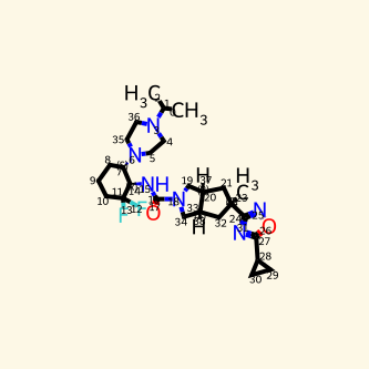 CC(C)N1CCN([C@H]2CCCC(F)(F)[C@@H]2NC(=O)N2C[C@@H]3C[C@](C)(c4noc(C5CC5)n4)C[C@@H]3C2)CC1